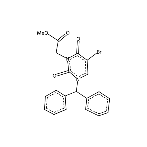 COC(=O)Cn1c(=O)c(Br)cn(C(c2ccccc2)c2ccccc2)c1=O